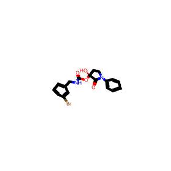 O=C(NCc1cccc(Br)c1)O[C@]1(O)CCN(c2ccccc2)C1=O